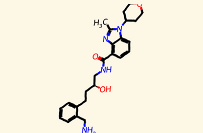 Cc1nc2c(C(=O)NC[C@@H](O)CCc3ccccc3CN)cccc2n1C1CCOCC1